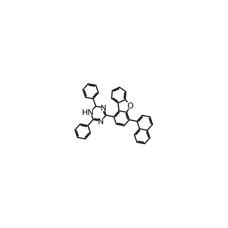 c1ccc(C2=NC(c3ccc(-c4cccc5ccccc45)c4oc5ccccc5c34)=NC(c3ccccc3)N2)cc1